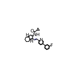 O=C(N[C@H]1C[C@H]2CCCC[C@H]2[C@@H]1/C=C/c1ccc(-c2cccc(F)c2)cn1)C1CC1